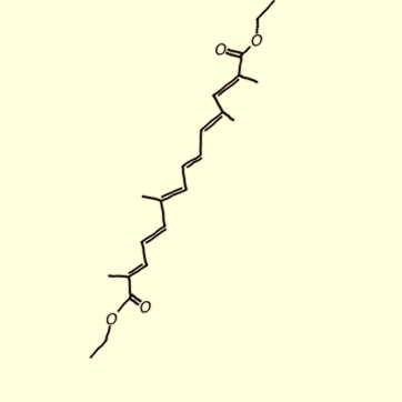 CCOC(=O)/C(C)=C/C=C/C(C)=C/C=C/C=C(C)/C=C(\C)C(=O)OCC